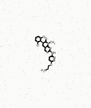 Cn1c(=O)c(-c2c(Cl)cccc2Cl)cc2cnc(Nc3ccc(OCCN)nn3)nc21